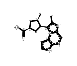 Cc1nc2cnc3[nH]ccc3n2c1[C@H]1C[C@@H](C(N)=O)C[C@H]1C